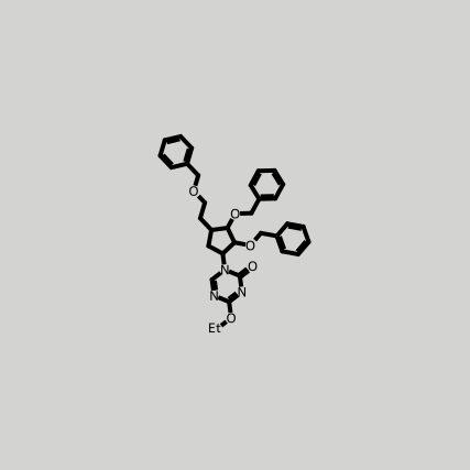 CCOc1ncn(C2CC(CCOCc3ccccc3)C(OCc3ccccc3)C2OCc2ccccc2)c(=O)n1